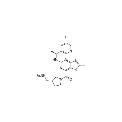 CC(=O)NC[C@H]1CCN(C(=O)c2nc(N[C@@H](C)c3cncc(F)c3)nc3nc(C)sc23)C1